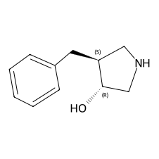 O[C@H]1CNC[C@@H]1Cc1ccccc1